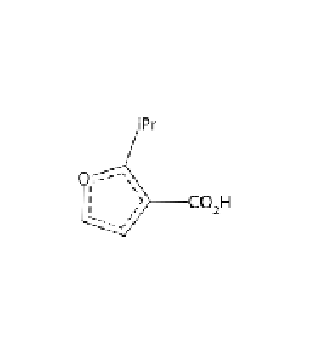 CC(C)c1occc1C(=O)O